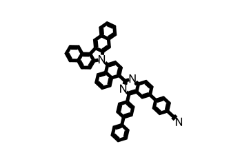 N#Cc1ccc(-c2ccc3nc(-c4ccc(-n5c6cc7ccccc7cc6c6c7ccccc7ccc65)c5ccccc45)nc(-c4ccc(-c5ccccc5)cc4)c3c2)cc1